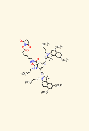 CC1(C)C(/C=C/C2=CC(=C/C=C3/N(CCCS(=O)(=O)O)c4cc(S(=O)(=O)O)c5ccc(S(=O)(=O)O)cc5c4C3(C)C)/CC(C(=O)NCCCCCC(=O)ON3C(=O)CCC3=O)(C(=O)NCCS(=O)(=O)O)C2)=[N+](CCCS(=O)(=O)O)c2ccc3c(S(=O)(=O)O)cc(S(=O)(=O)O)cc3c21